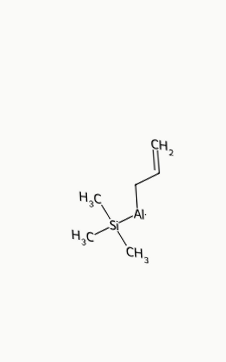 C=C[CH2][Al][Si](C)(C)C